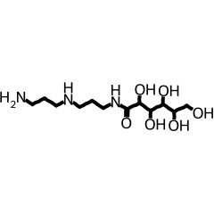 NCCCNCCCNC(=O)C(O)C(O)C(O)C(O)CO